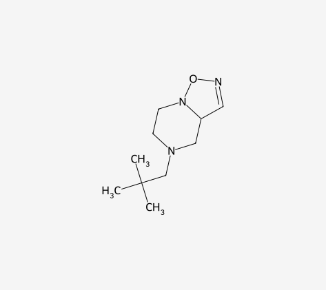 CC(C)(C)CN1CCN2ON=CC2C1